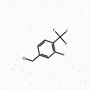 [O]Cc1ccc(C(F)(F)F)c(F)c1